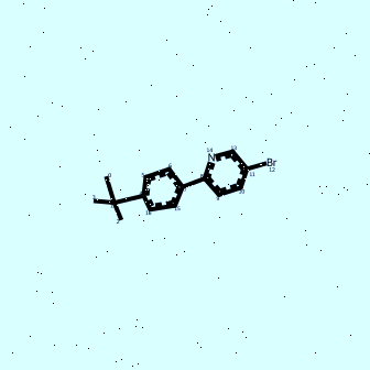 CC(C)(C)c1ccc(-c2ccc(Br)cn2)cc1